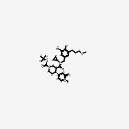 COCCCc1cc(CN(C(=O)C2CN(C(=O)OC(C)(C)C)CC[C@@H]2c2ccn(C)c(=O)c2)C2CC2)cc(Br)c1C